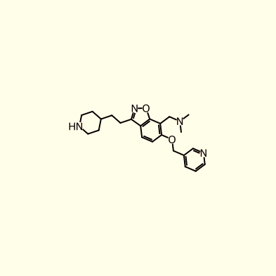 CN(C)Cc1c(OCc2cccnc2)ccc2c(CCC3CCNCC3)noc12